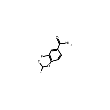 NC(=O)c1ccc(OC(F)F)c(F)c1